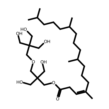 CC(=CCC(=O)OCC(CO)(CO)COCC(CO)(CO)CO)CCCC(C)CCCC(C)CCCC(C)C